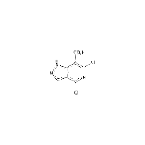 O=C(O)c1c(Cl)nc(Cl)c2cn[nH]c12